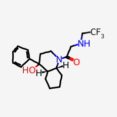 O=C(CNCC(F)(F)F)N1CCC(O)(c2ccccc2)[C@H]2CCCC[C@H]21